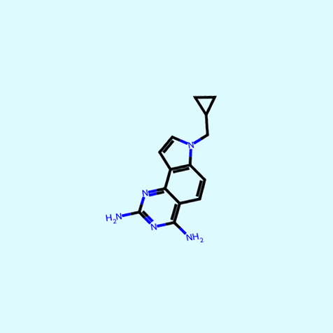 Nc1nc(N)c2ccc3c(ccn3CC3CC3)c2n1